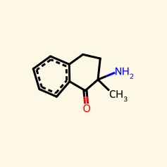 CC1(N)CCc2ccccc2C1=O